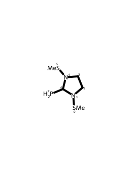 CSN1CCN(SC)C1P